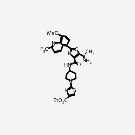 CCOC(=O)c1csc(N2CCC(NC(=O)c3nc(-c4ccc(OC)c5nc(C(F)(F)F)ccc45)oc3[C@H](C)N)CC2)n1